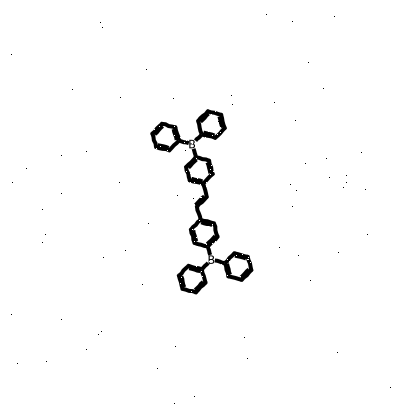 C(=C\c1ccc(B(c2ccccc2)c2ccccc2)cc1)/c1ccc(B(c2ccccc2)c2ccccc2)cc1